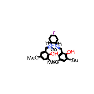 COc1cc(C=[N+]2[Co][N+](=Cc3cc(OC)cc(C(C)(C)C)c3O)[C@@H]3CCCC[C@H]32)c(O)c(C(C)(C)C)c1.[I-]